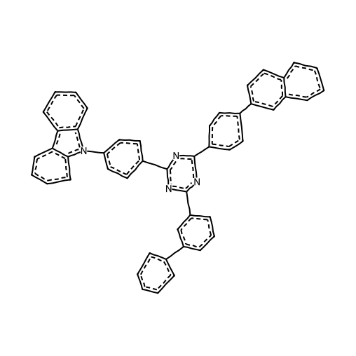 c1ccc(-c2cccc(-c3nc(-c4ccc(-c5ccc6ccccc6c5)cc4)nc(-c4ccc(-n5c6ccccc6c6ccccc65)cc4)n3)c2)cc1